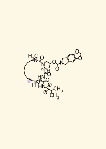 CC(C)S(=O)(=O)NC(=O)[C@@]12C[C@H]1/C=C\CCCCCN(C)C(=O)N1CC(OC(=O)N3Cc4cc5c(cc4C3)OCO5)C[C@H]1C(=O)N2